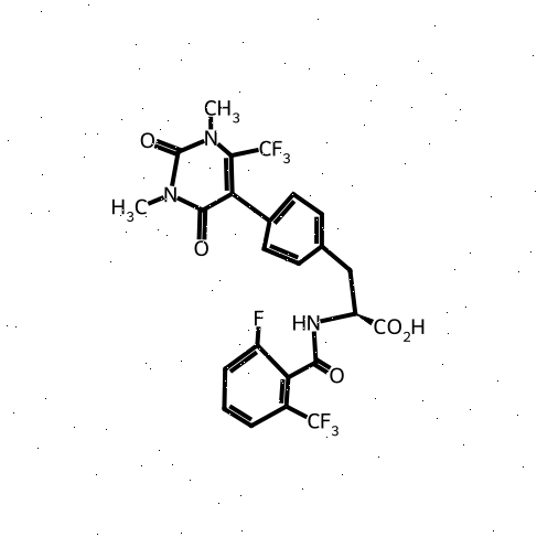 Cn1c(C(F)(F)F)c(-c2ccc(C[C@H](NC(=O)c3c(F)cccc3C(F)(F)F)C(=O)O)cc2)c(=O)n(C)c1=O